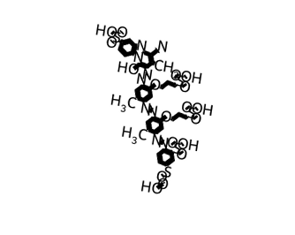 Cc1cc(N=Nc2c(C)c(C#N)c3nc4cc(S(=O)(=O)O)ccc4n3c2O)c(OCCCS(=O)(=O)O)cc1N=Nc1cc(C)c(N=Nc2ccc(SOOO)cc2S(=O)(=O)O)cc1OCCCS(=O)(=O)O